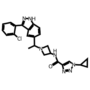 CC(c1ccc2[nH]nc(-c3ccccc3Cl)c2c1)N1CC(NC(=O)c2cn(C3CC3)nn2)C1